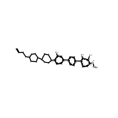 C=CCCC1CCC(C2CCC(c3ccc(-c4ccc(-c5ccc(OCCCC)c(F)c5F)cc4)cc3F)CC2)CC1